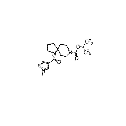 Cn1cc(C(=O)N2CCCC23CCN(C(=O)OC(C(F)(F)F)C(F)(F)F)CC3)cn1